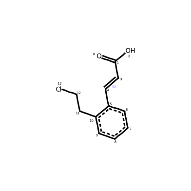 O=C(O)/C=C/c1ccccc1CCCl